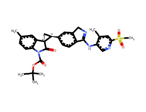 Cc1ccc2c(c1)[C@]1(C[C@H]1c1ccc3c(c1)CN=C3Nc1cnc(S(C)(=O)=O)cc1C)C(=O)N2C(=O)OC(C)(C)C